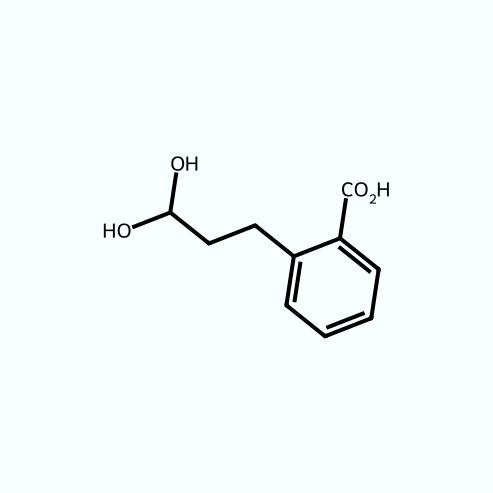 O=C(O)c1ccccc1CCC(O)O